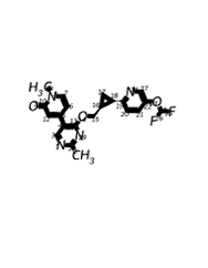 Cc1ncc(-c2ccn(C)c(=O)c2)c(OC[C@H]2C[C@@H]2c2ccc(OC(F)F)cn2)n1